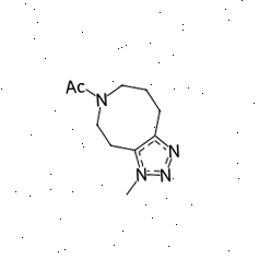 CC(=O)N1CCCc2nnn(C)c2CC1